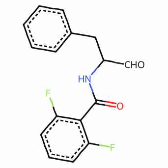 O=CC(Cc1ccccc1)NC(=O)c1c(F)cccc1F